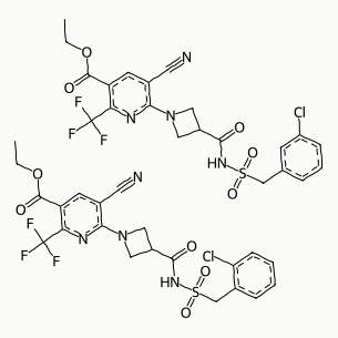 CCOC(=O)c1cc(C#N)c(N2CC(C(=O)NS(=O)(=O)Cc3cccc(Cl)c3)C2)nc1C(F)(F)F.CCOC(=O)c1cc(C#N)c(N2CC(C(=O)NS(=O)(=O)Cc3ccccc3Cl)C2)nc1C(F)(F)F